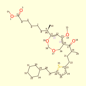 COC(=O)CCCCC[C@@H](C)/C1=C/C(OC)=C(/C(=O)C(C)CCc2ccc(CCC3CCCCC3)s2)COCO1